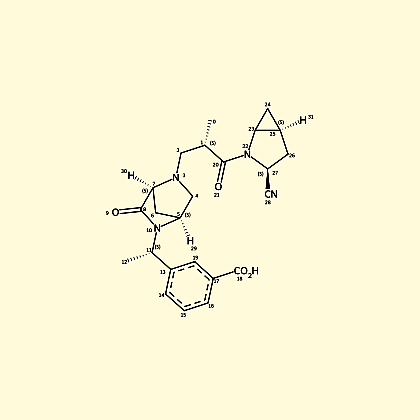 C[C@@H](CN1C[C@@H]2C[C@H]1C(=O)N2[C@@H](C)c1cccc(C(=O)O)c1)C(=O)N1C2C[C@H]2C[C@H]1C#N